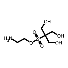 NCCOS(=O)(=O)C(CO)(CO)CO